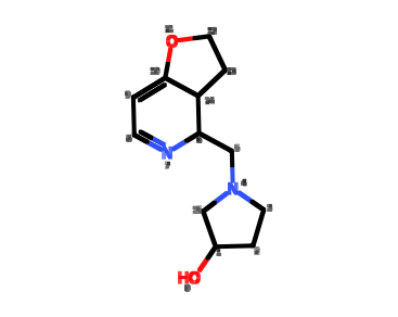 OC1CCN(CC2N=CC=C3OCCC32)C1